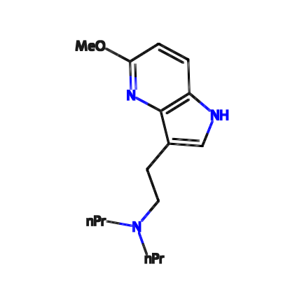 CCCN(CCC)CCc1c[nH]c2ccc(OC)nc12